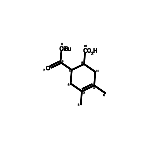 CC1=C(C)CC(C(=O)OCC(C)C)C(C(=O)O)C1